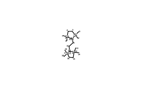 C[Si]1(C)CC[Si](C)(C)N1CCN1[Si](C)(C)CC[Si]1(C)C